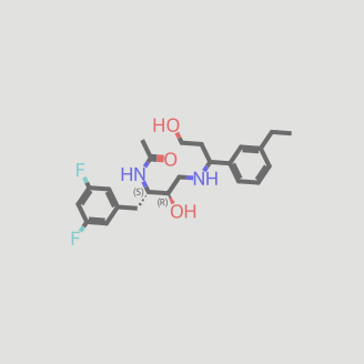 CCc1cccc(C(CCO)NC[C@@H](O)[C@H](Cc2cc(F)cc(F)c2)NC(C)=O)c1